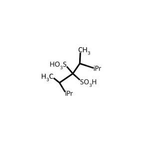 CC(C)C(C)C(C(C)C(C)C)(S(=O)(=O)O)S(=O)(=O)O